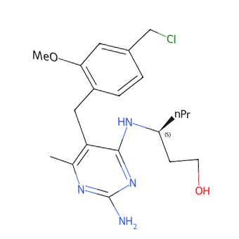 CCC[C@@H](CCO)Nc1nc(N)nc(C)c1Cc1ccc(CCl)cc1OC